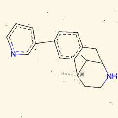 CC1C2Cc3ccc(-c4cccnc4)cc3[C@]1(C)CCN2